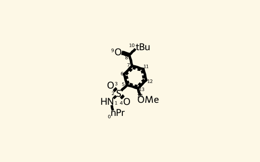 CCCNS(=O)(=O)c1cc(C(=O)C(C)(C)C)ccc1OC